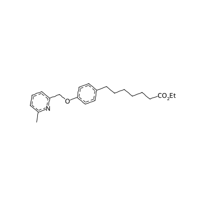 CCOC(=O)CCCCCCc1ccc(OCc2cccc(C)n2)cc1